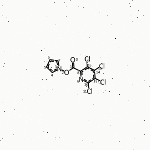 O=C(On1cccc1)c1nc(Cl)c(Cl)c(Cl)c1Cl